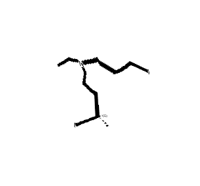 CCN(CCCI)CC[C@H](C)I